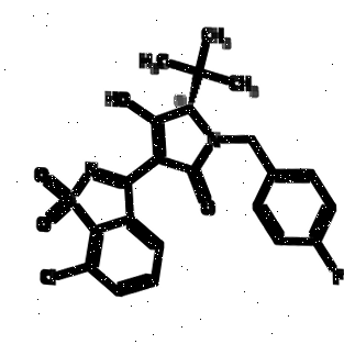 CC(C)(C)[C@H]1C(O)=C(C2=NS(=O)(=O)c3c(Cl)cccc32)C(=O)N1Cc1ccc(F)cc1